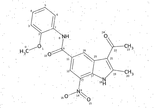 COc1ccccc1NC(=O)c1cc([N+](=O)[O-])c2[nH]c(C)c(C(C)=O)c2c1